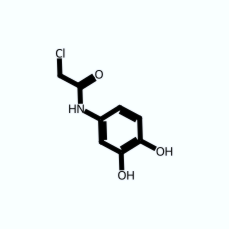 O=C(CCl)Nc1ccc(O)c(O)c1